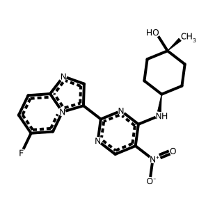 C[C@]1(O)CC[C@H](Nc2nc(-c3cnc4ccc(F)cn34)ncc2[N+](=O)[O-])CC1